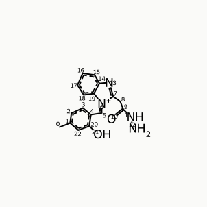 Cc1ccc(C=[N+]2C(CC(=O)NN)=Nc3ccccc32)c(O)c1